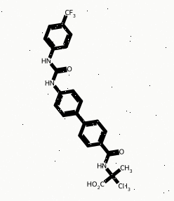 CC(C)(NC(=O)c1ccc(-c2ccc(NC(=O)Nc3ccc(C(F)(F)F)cc3)cc2)cc1)C(=O)O